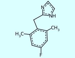 Cc1cc(F)cc(C)c1Cc1ncc[nH]1